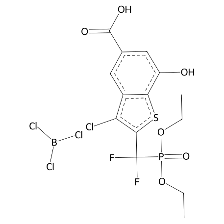 CCOP(=O)(OCC)C(F)(F)c1sc2c(O)cc(C(=O)O)cc2c1Cl.ClB(Cl)Cl